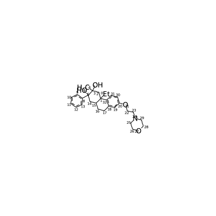 CCC12CC(C)(O)C(O)(c3ccccc3)CC1CCc1cc(OCCN3CCOCC3)ccc12